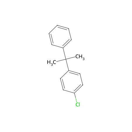 CC(C)(c1ccccc1)c1ccc(Cl)cc1